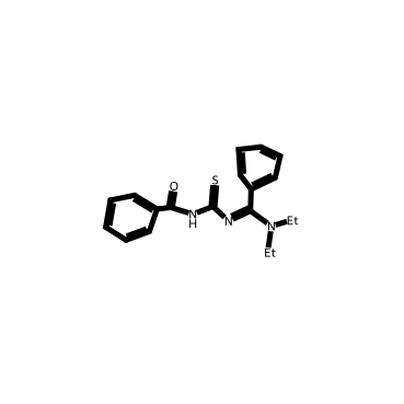 CCN(CC)/C(=N/C(=S)NC(=O)c1ccccc1)c1ccccc1